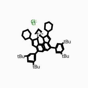 CC(C)(C)c1cc(-c2cccc3c2C=C(C2CCCCC2)[CH]3[Ti+2]2([CH]3C(C4CCCCC4)=Cc4c(-c5cc(C(C)(C)C)cc(C(C)(C)C)c5)cccc43)[CH2]C[CH2]2)cc(C(C)(C)C)c1.[Cl-].[Cl-]